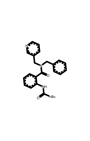 CCCCC(=O)Nc1ccccc1C(=O)N(Cc1ccccc1)Cc1cccnc1